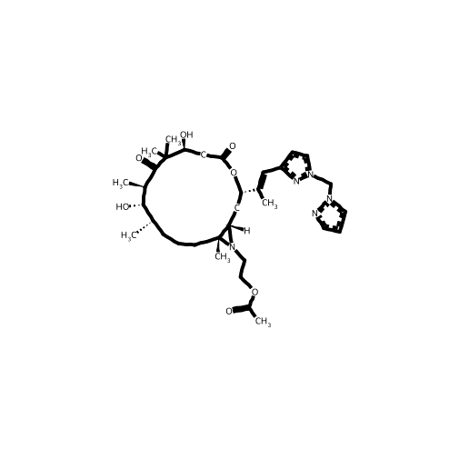 CC(=O)OCCN1[C@H]2C[C@@H](/C(C)=C/c3ccn(Cn4cccn4)n3)OC(=O)C[C@H](O)C(C)(C)C(=O)[C@H](C)[C@@H](O)[C@@H](C)CCC[C@]21C